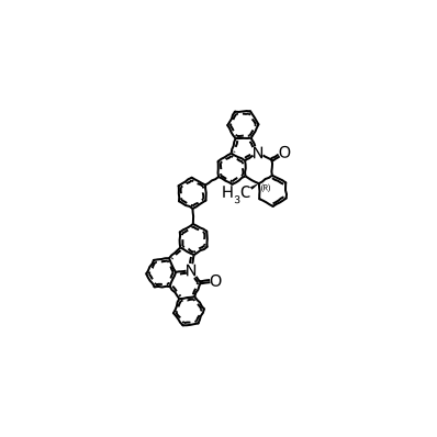 C[C@]12CC=CC=C1C(=O)n1c3ccccc3c3cc(-c4cccc(-c5ccc6c(c5)c5cccc7c8ccccc8c(=O)n6c75)c4)cc2c31